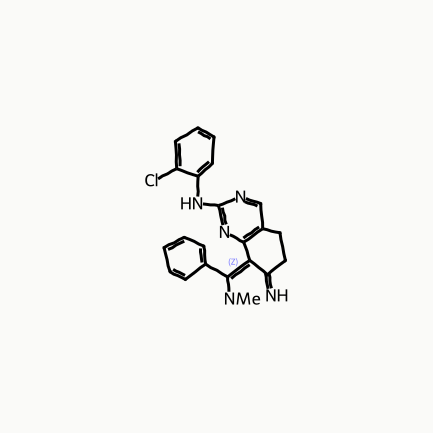 CN/C(=C1\C(=N)CCc2cnc(Nc3ccccc3Cl)nc21)c1ccccc1